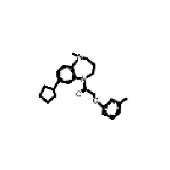 Cc1cccc(OCC(=O)N2CCCN(C)c3ccc(C4CCCC4)cc32)c1